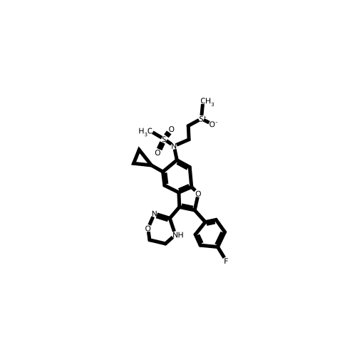 C[S+]([O-])CCN(c1cc2oc(-c3ccc(F)cc3)c(C3=NOCCN3)c2cc1C1CC1)S(C)(=O)=O